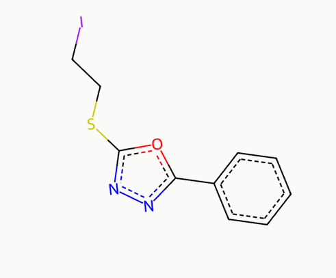 ICCSc1nnc(-c2ccccc2)o1